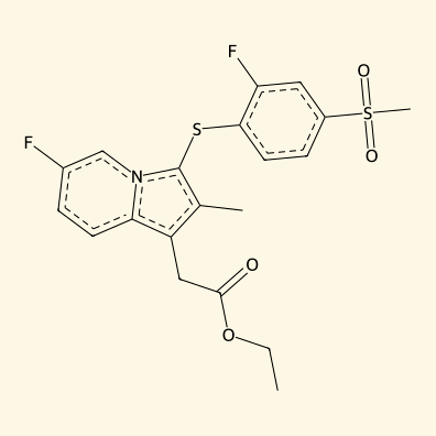 CCOC(=O)Cc1c(C)c(Sc2ccc(S(C)(=O)=O)cc2F)n2cc(F)ccc12